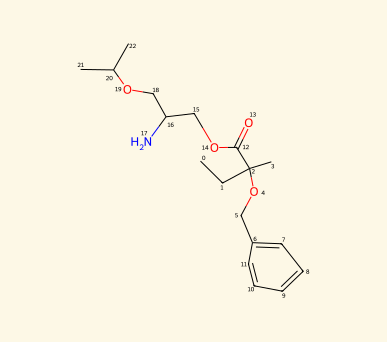 CCC(C)(OCc1ccccc1)C(=O)OCC(N)COC(C)C